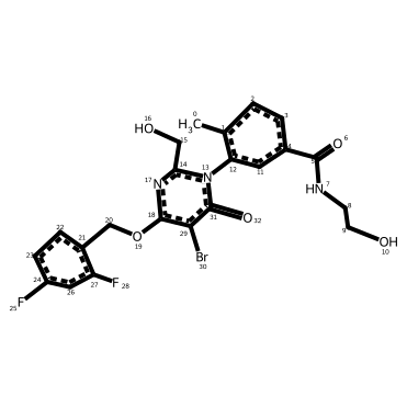 Cc1ccc(C(=O)NCCO)cc1-n1c(CO)nc(OCc2ccc(F)cc2F)c(Br)c1=O